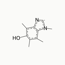 Cc1c(O)c(C)c2n[c]n(C)c2c1C